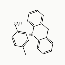 Cc1ccc(S(=O)(=O)O)cc1.c1ccc2c(c1)Nc1ccccc1S2